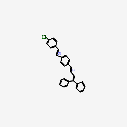 Clc1ccc(/C=C/c2ccc(/C=C/C=C(c3ccccc3)c3ccccc3)cc2)cc1